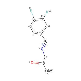 COC(=O)C/N=C/c1ccc(F)c(F)c1